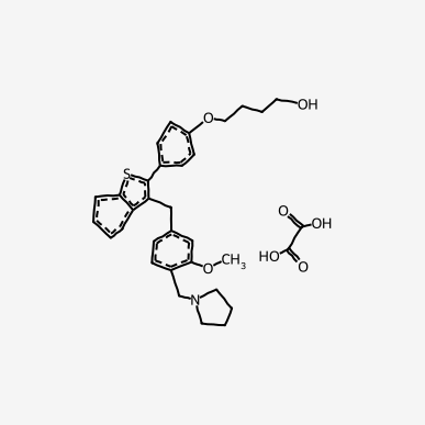 COc1cc(Cc2c(-c3ccc(OCCCCO)cc3)sc3ccccc23)ccc1CN1CCCC1.O=C(O)C(=O)O